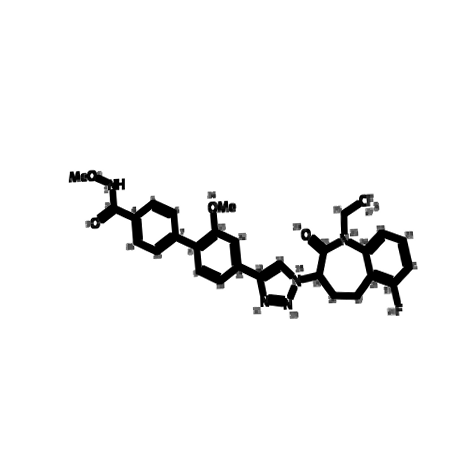 CONC(=O)c1ccc(-c2ccc(-c3cn(C4CCc5c(F)cccc5N(CC(F)(F)F)C4=O)nn3)cc2OC)cc1